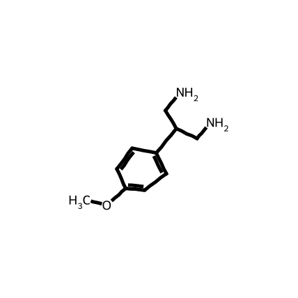 COc1ccc(C(CN)CN)cc1